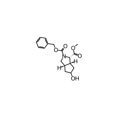 COC(=O)[C@@H]1[C@@H]2CC(O)C[C@@H]2CN1C(=O)OCc1ccccc1